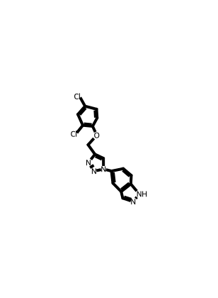 Clc1ccc(OCc2cn(-c3ccc4[nH]ncc4c3)nn2)c(Cl)c1